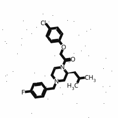 CC(C)C[C@H]1CN(Cc2ccc(F)cc2)CCN1C(=O)COc1ccc(Cl)cc1